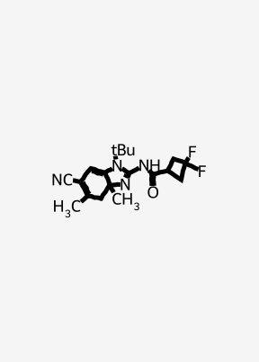 CC1=C(C#N)C=C2N(C(C)(C)C)C(NC(=O)C3CC(F)(F)C3)=NC2(C)C1